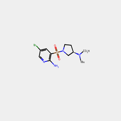 CC(C)(C)N(C(=O)O)[C@@H]1CCN(S(=O)(=O)c2cc(Br)cnc2N)C1